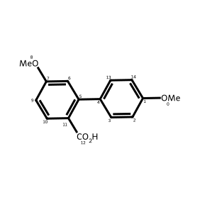 COc1ccc(-c2cc(OC)ccc2C(=O)O)cc1